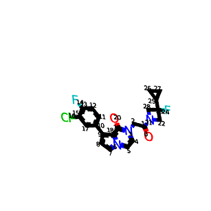 O=C(Cn1ccn2ccc(-c3ccc(F)c(Cl)c3)c2c1=O)N1CC(F)(C2CC2)C1